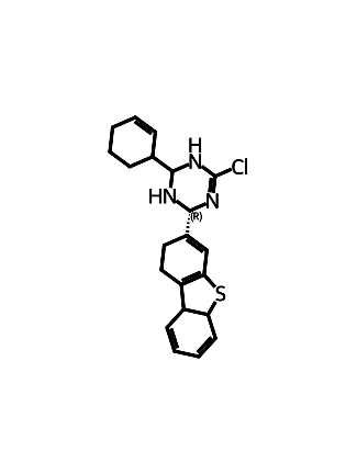 ClC1=N[C@H](C2=CC3=C(CC2)C2C=CC=CC2S3)NC(C2C=CCCC2)N1